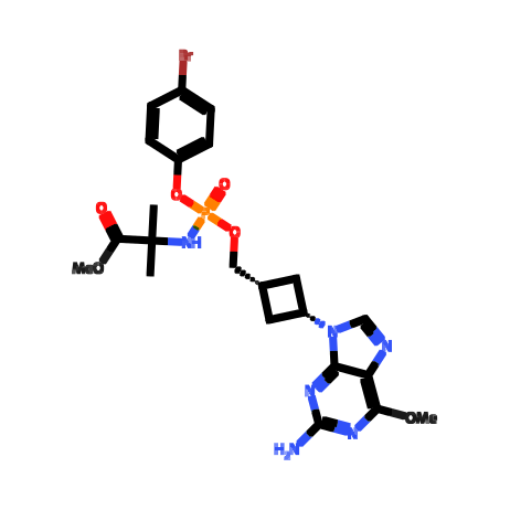 COC(=O)C(C)(C)NP(=O)(OC[C@H]1C[C@@H](n2cnc3c(OC)nc(N)nc32)C1)Oc1ccc(Br)cc1